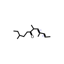 C/C=C/C(C)=C/C(C)C(=O)CCC(C)CC